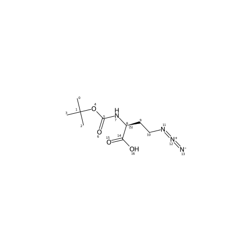 CC(C)(C)OC(=O)N[C@@H](CCN=[N+]=[N-])C(=O)O